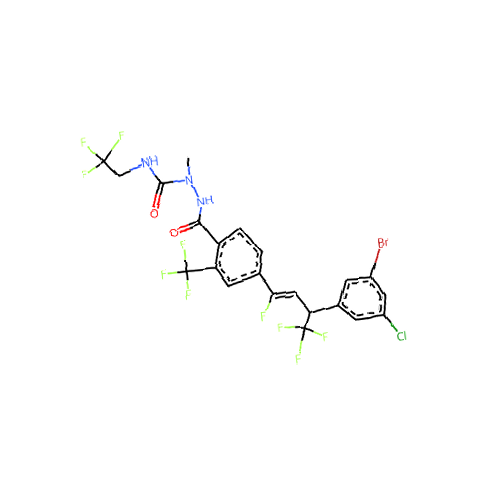 CN(NC(=O)c1ccc(/C(F)=C/C(c2cc(Cl)cc(Br)c2)C(F)(F)F)cc1C(F)(F)F)C(=O)NCC(F)(F)F